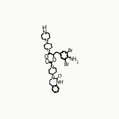 Nc1c(Br)cc(CC(OC(=O)N2CCC(N3CCc4ccccc4NC3=O)CC2)C(=O)N2CCC(N3CCNCC3)CC2)cc1Br